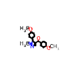 COc1ccc(C(=O)c2cnn(C)c2-c2ccc(OC)cc2)cc1